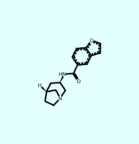 O=C(N[C@@H]1C[C@H]2CCN(C2)C1)c1ccc2occc2c1